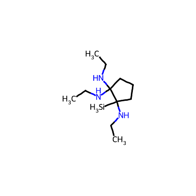 CCNC1([SiH3])CCCC1(NCC)NCC